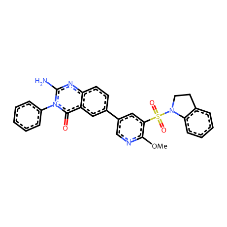 COc1ncc(-c2ccc3nc(N)n(-c4ccccc4)c(=O)c3c2)cc1S(=O)(=O)N1CCc2ccccc21